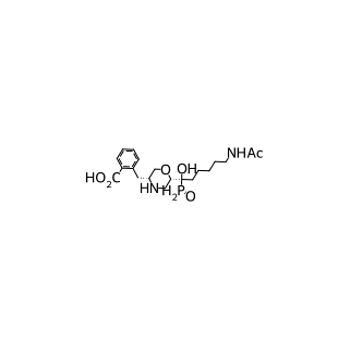 CC(=O)NCCCCCC(O)([PH2]=O)[C@@H]1CN[C@H](Cc2ccccc2C(=O)O)CO1